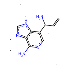 C=CC(N)c1cnc(N)c2nc[nH]c12